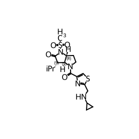 CC(C)[C@@H]1C(=O)N(S(C)(=O)=O)[C@@H]2CCN(C(=O)c3csc(CNC4CC4)n3)[C@H]21